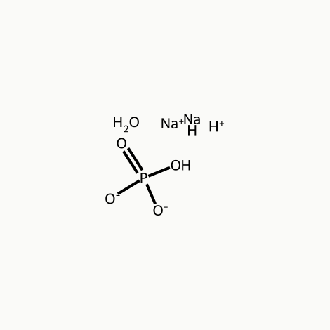 O.O=P([O-])([O-])O.[H+].[Na+].[NaH]